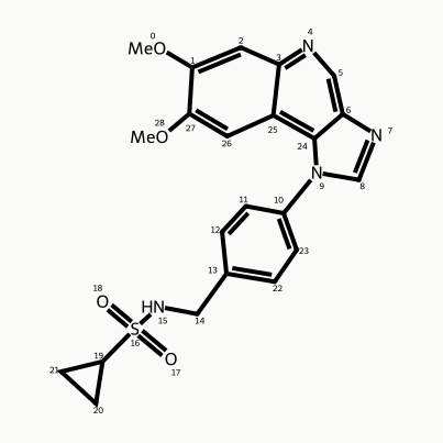 COc1cc2ncc3ncn(-c4ccc(CNS(=O)(=O)C5CC5)cc4)c3c2cc1OC